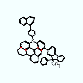 CC1(c2ccccc2)c2ccccc2-c2ccc(-c3ccc(N(c4ccc(-c5cccc6ccccc56)cc4)c4ccccc4-c4cccc5cccc(C6CCCCC6)c45)cc3)cc21